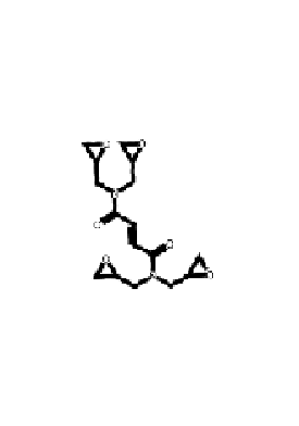 O=C(C=CC(=O)N(CC1CO1)CC1CO1)N(CC1CO1)CC1CO1